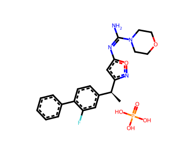 C[C@@H](c1ccc(-c2ccccc2)c(F)c1)c1cc(/N=C(/N)N2CCOCC2)on1.O=P(O)(O)O